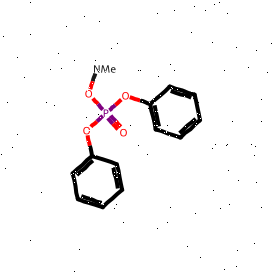 CNOP(=O)(Oc1ccccc1)Oc1ccccc1